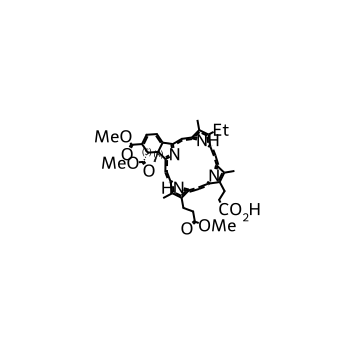 CCc1c(C)c2cc3nc(cc4[nH]c(cc5nc(cc1[nH]2)C(C)=C5CCC(=O)O)c(CCC(=O)OC)c4C)[C@@]1(C)C3=CC=C(C(=O)OC)[C@H]1C(=O)OC